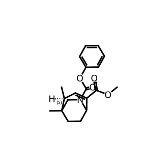 COC(=O)C1=C[C@H](C)C2(C)CCC1N(C(=O)Oc1ccccc1)C2